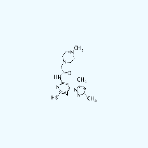 Cc1cc(C)n(-c2cc(NC(=O)CN3CCN(C)CC3)nc(S)n2)n1